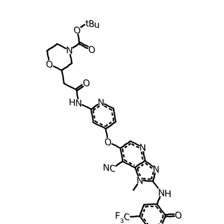 Cn1cc(C(F)(F)F)cc(Nc2nc3ncc(Oc4ccnc(NC(=O)CC5CN(C(=O)OC(C)(C)C)CCO5)c4)c(C#N)c3n2C)c1=O